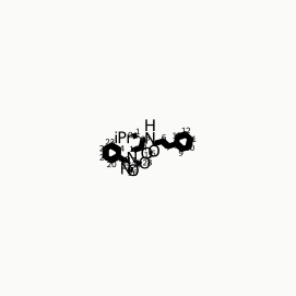 CC(C)C[C@H](NC(=O)/C=C/c1ccccc1)C(=O)Cn1c(-c2ccccc2)noc1=O